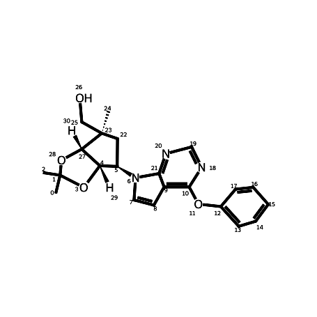 CC1(C)O[C@H]2[C@H](n3ccc4c(Oc5ccccc5)ncnc43)C[C@](C)(CO)[C@H]2O1